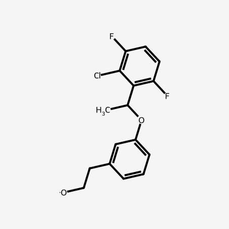 CC(Oc1cccc(CC[O])c1)c1c(F)ccc(F)c1Cl